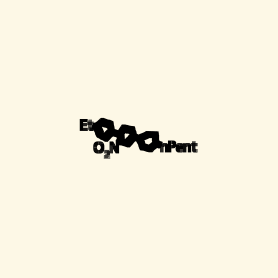 CCCCCC1CCC(c2ccc(-c3ccc(CC)cc3)c([N+](=O)[O-])c2)CC1